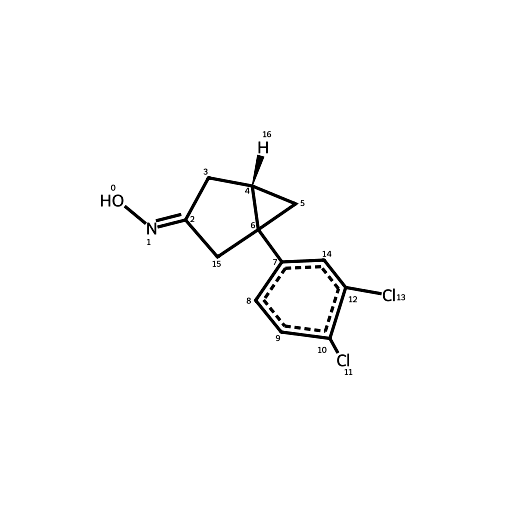 ON=C1C[C@@H]2CC2(c2ccc(Cl)c(Cl)c2)C1